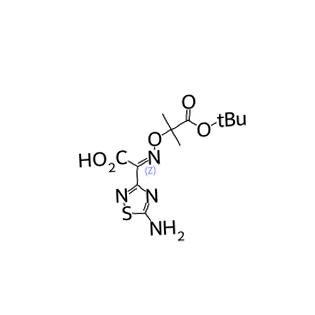 CC(C)(C)OC(=O)C(C)(C)O/N=C(\C(=O)O)c1nsc(N)n1